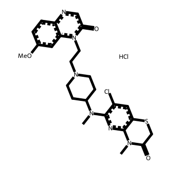 COc1ccc2ncc(=O)n(CCN3CCC(N(C)c4nc5c(cc4Cl)SCC(=O)N5C)CC3)c2c1.Cl